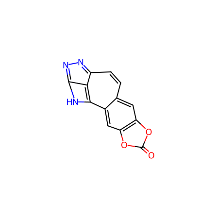 O=c1oc2cc3ccc4nnc5[nH]c(c3cc2o1)c45